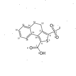 CS(=O)(=O)c1sc(C(=O)O)c2c1CCc1ccccc1-2